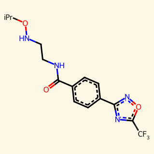 CC(C)ONCCNC(=O)c1ccc(-c2noc(C(F)(F)F)n2)cc1